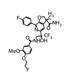 COc1cc(C(=O)NC[C@](O)(c2cc3c(c(-c4ccc(F)cc4)n2)OC[C@]3(C)C(N)=O)C(F)(F)F)ccc1OCCF